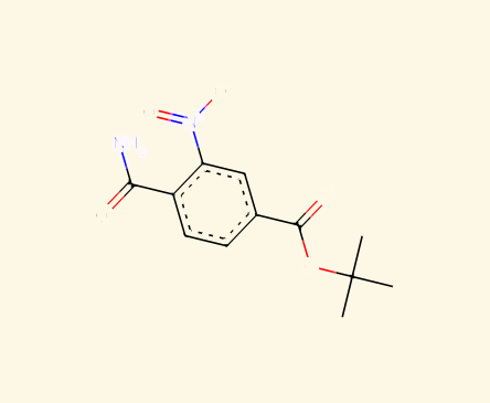 CC(C)(C)OC(=O)c1ccc(C(N)=O)c([N+](=O)[O-])c1